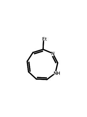 CCc1ccccc[nH]cn1